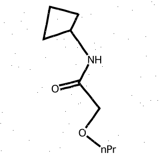 [CH2]CCOCC(=O)NC1CCC1